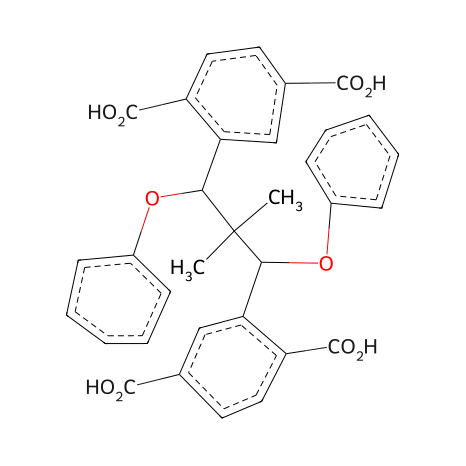 CC(C)(C(Oc1ccccc1)c1cc(C(=O)O)ccc1C(=O)O)C(Oc1ccccc1)c1cc(C(=O)O)ccc1C(=O)O